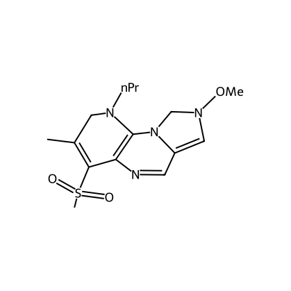 CCCN1CC(C)=C(S(C)(=O)=O)C2=C1N1CN(OC)C=C1C=N2